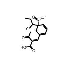 CCC(Cl)C1([N+](=O)[O-])C=CC=C(/C=C(\C(C)=O)C(=O)O)C1